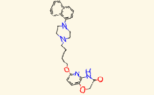 O=C1COc2ccc(OCCCCN3CCN(c4cccc5ccccc45)CC3)nc2N1